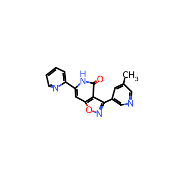 Cc1cncc(-c2noc3cc(-c4ccccn4)[nH]c(=O)c23)c1